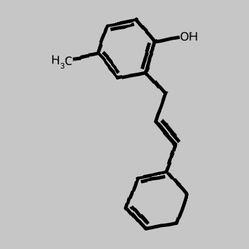 Cc1ccc(O)c(CC=CC2=CC=CCC2)c1